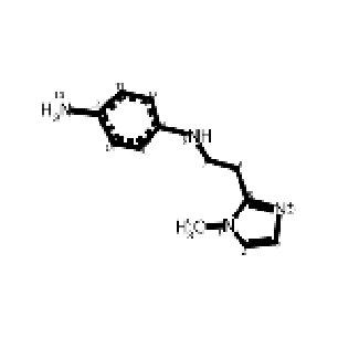 CN1C=C[N+]=C1CCNc1ccc(N)cc1